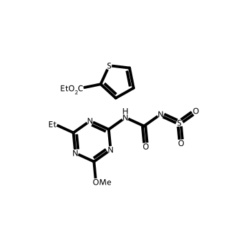 CCOC(=O)c1cccs1.CCc1nc(NC(=O)N=S(=O)=O)nc(OC)n1